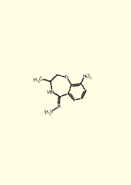 CC1COc2c(cccc2[N+](=O)[O-])/C(=N/N)N1